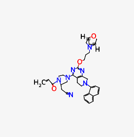 C=CC(=O)N1CCN(c2nc(OCCCN3C[C@@H]4C[C@H]3CO4)nc3c2CCN(c2cccc4ccccc24)C3)CC1CC#N